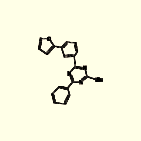 CC(C)(C)c1nc(-c2ccccc2)nc(-c2cccc(-c3ccco3)c2)n1